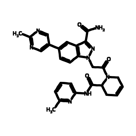 Cc1cccc(NC(=O)C2CC=CCN2C(=O)Cn2nc(C(N)=O)c3cc(-c4cnc(C)nc4)ccc32)n1